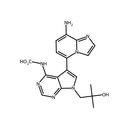 CC(C)(O)Cn1cc(-c2ccc(N)c3nccn23)c2c(NC(=O)O)ncnc21